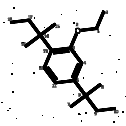 [CH2]COc1cc(C(C)(C)CC)ccc1C(C)(C)CC